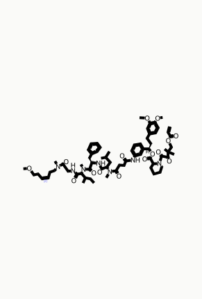 C=CC(=O)OCC(C)(C)C(=O)C(=O)N1CCCCC1C(=O)O[C@H](CCc1ccc(OC)c(OC)c1)c1cccc(NC(=O)CCC(=O)N(C)C(CC(C)C)C(=O)N[C@H](Cc2ccccc2)C(=O)N(C)C(C(=O)NCC(=O)N(C)CC/C=C\CCOC)C(C)CC)c1